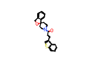 O=C(/C=C/c1csc2ccccc12)N1CCC2(CC1)OCc1ccccc12